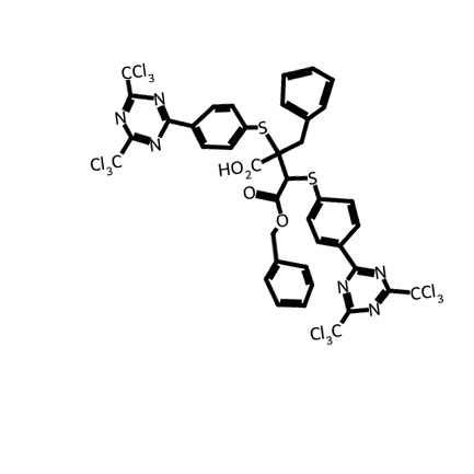 O=C(OCc1ccccc1)C(Sc1ccc(-c2nc(C(Cl)(Cl)Cl)nc(C(Cl)(Cl)Cl)n2)cc1)C(Cc1ccccc1)(Sc1ccc(-c2nc(C(Cl)(Cl)Cl)nc(C(Cl)(Cl)Cl)n2)cc1)C(=O)O